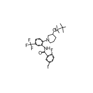 CC(C)(C)[Si](C)(C)OC1CCCN(c2ccc(C(F)(F)F)cc2NC(=O)c2cc(I)ccc2F)C1